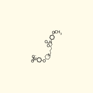 COc1ccc(N2CC(CCCN3CCC(Oc4ccc([N+](=O)[O-])cc4)CC3)OC2=O)cc1